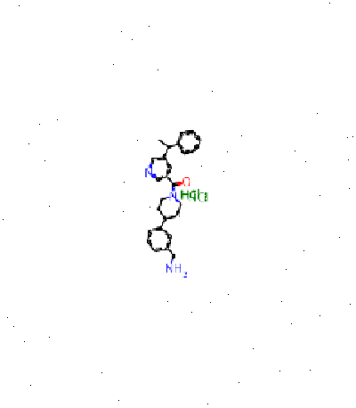 CC(c1ccccc1)c1cncc(C(=O)N2CCC(c3cccc(CN)c3)CC2)c1.Cl.Cl